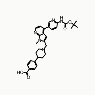 Cn1c(CN2CCC(c3ccc(C(=O)O)cc3)CC2)cc2c(-c3ccc(NC(=O)OC(C)(C)C)nc3)ccnc21